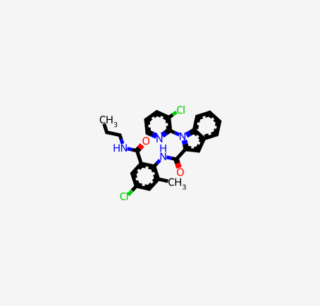 CCCNC(=O)c1cc(Cl)cc(C)c1NC(=O)c1cc2ccccc2n1-c1ncccc1Cl